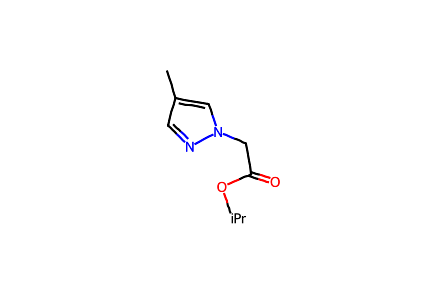 Cc1cnn(CC(=O)OC(C)C)c1